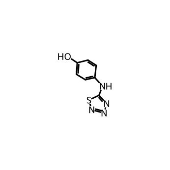 Oc1ccc(Nc2nnns2)cc1